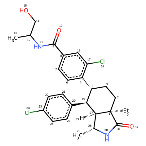 CC[C@@]12CC[C@@H](c3ccc(C(=O)NC(C)CO)cc3Cl)[C@H](c3ccc(Cl)cc3)[C@@H]1[C@@H](C)NC2=O